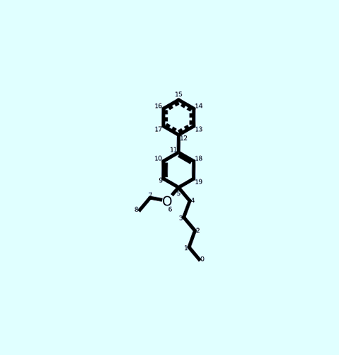 CCCCCC1(OCC)C=CC(c2ccccc2)=CC1